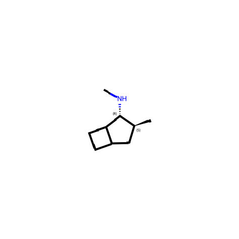 CN[C@H]1C2CCC2C[C@@H]1C